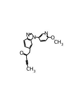 CC#CC(=O)Cc1ccc2ncn(-c3ccc(OC)nc3)c2c1